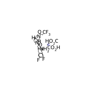 N[C@@H](CC(=O)N1CC[C@H]2CN(C(=O)CC(F)(F)F)C[C@H]21)Cc1cc(F)c(F)cc1F.O=C(O)/C=C/C(=O)O